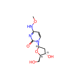 CONc1ccn([C@H]2C[C@H](O)[C@@H](CO)O2)c(=O)n1